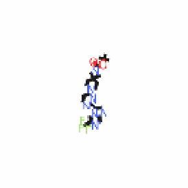 CC(C)(C)OC(=O)N1CC2(CCN(c3ccnc(-c4cnc5cnc(C(F)(F)F)cn45)n3)CC2)C1